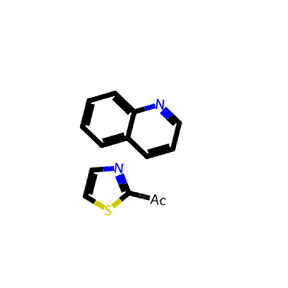 CC(=O)c1nccs1.c1ccc2ncccc2c1